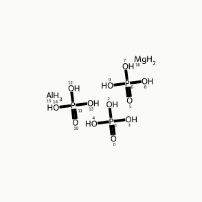 O=P(O)(O)O.O=P(O)(O)O.O=P(O)(O)O.[AlH3].[MgH2]